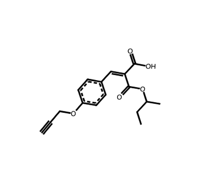 C#CCOc1ccc(C=C(C(=O)O)C(=O)OC(C)CC)cc1